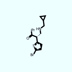 CC(C)C(=O)[C@H](CNCC1CC1)c1ccc(Br)s1